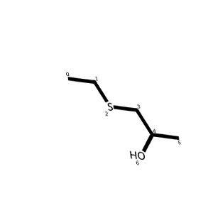 CCSCC(C)O